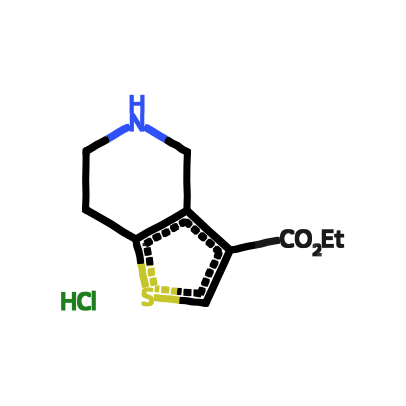 CCOC(=O)c1csc2c1CNCC2.Cl